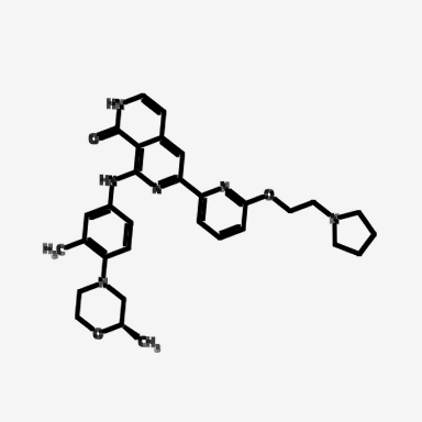 Cc1cc(Nc2nc(-c3cccc(OCCN4CCCC4)n3)cc3cc[nH]c(=O)c23)ccc1N1CCO[C@H](C)C1